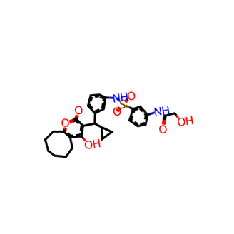 O=C(CO)Nc1cccc(S(=O)(=O)Nc2cccc(C(c3c(O)c4c(oc3=O)CCCCCC4)C3CC3)c2)c1